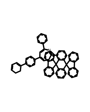 C1=CCCC(c2ccc(C3=CCC(c4cccc5c4C4(c6ccccc6-c6ccccc64)c4ccccc4C54c5ccccc5-c5ccccc54)=NC(c4ccccc4)=C3)cc2)=C1